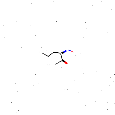 COC(=O)/C(CCC(C)(C)C)=N\O